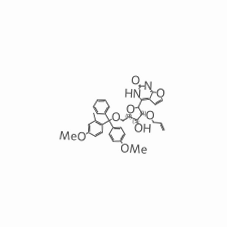 C=CCO[C@H]1C(c2[nH]c(=O)nc3occc23)O[C@H](COC(c2ccccc2)(c2ccc(OC)cc2)c2ccc(OC)cc2C)[C@@H]1O